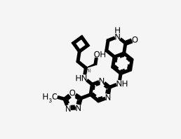 Cc1nnc(-c2cnc(Nc3ccc4c(c3)CCNC4=O)nc2N[C@H](CO)CC2CCC2)o1